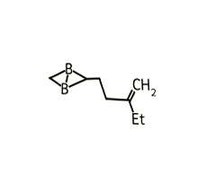 C=C(CC)CCC1B2CB21